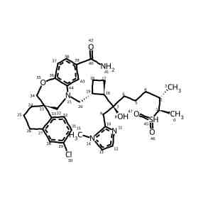 C[C@H]([C@@H](C)CCC[C@](O)(Cc1nccn1C)[C@@H]1CC[C@H]1CN1C[C@@]2(CCCc3cc(Cl)ccc32)COc2ccc(C(N)=O)cc21)[SH](=O)=O